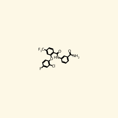 NC(=O)c1cccc(NC(=O)c2ccc(C(F)(F)F)cc2Oc2ccc(F)cc2Cl)c1